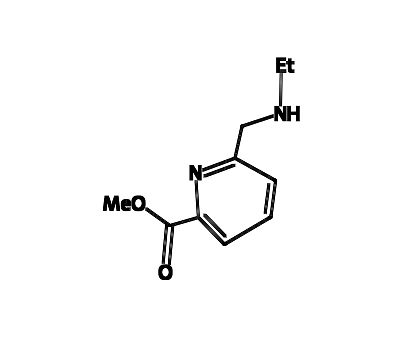 CCNCc1cccc(C(=O)OC)n1